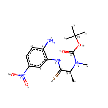 C[C@@H](C(=S)Nc1cc([N+](=O)[O-])ccc1N)N(C)C(=O)OC(C)(C)C